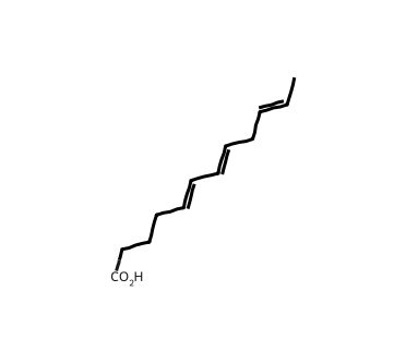 CC=CCC=CC=CCCCC(=O)O